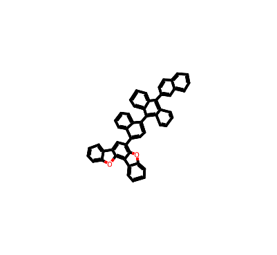 c1ccc2cc(-c3c4ccccc4c(-c4ccc(-c5cc6c7ccccc7oc6c6c5oc5ccccc56)c5ccccc45)c4ccccc34)ccc2c1